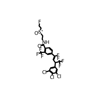 O=C(NCC[S+]([O-])CCF)c1ccc(C(F)=CC(c2cc(Cl)c(Cl)c(Cl)c2)C(F)(F)F)cc1C(F)(F)F